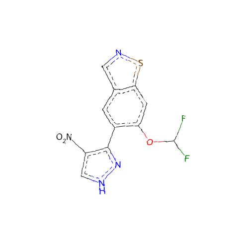 O=[N+]([O-])c1c[nH]nc1-c1cc2cnsc2cc1OC(F)F